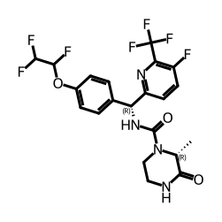 C[C@@H]1C(=O)NCCN1C(=O)N[C@H](c1ccc(OC(F)C(F)F)cc1)c1ccc(F)c(C(F)(F)F)n1